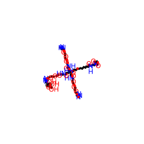 Cn1cc(COCCOCCOCCNC(=O)CCC(CCC(=O)NCCOCCOCCOCc2cn(C)nn2)(CCC(=O)NCCOCCOCCOCc2cn(C[C@H]3CO[C@H](CO)[C@H](O)[C@@H]3O)nn2)NC(=O)CCCCCCCCCCC(=O)NCCN2C(=O)C=CC2=O)nn1